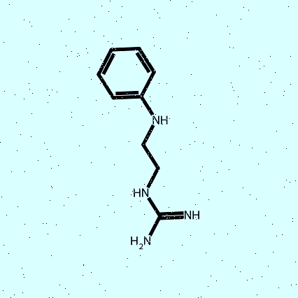 N=C(N)NCCNc1ccccc1